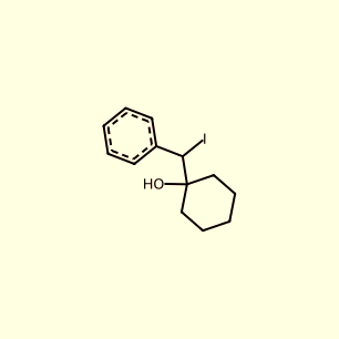 OC1(C(I)c2ccccc2)CCCCC1